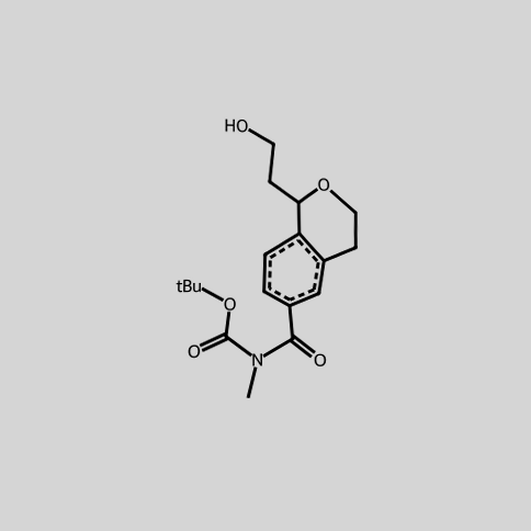 CN(C(=O)OC(C)(C)C)C(=O)c1ccc2c(c1)CCOC2CCO